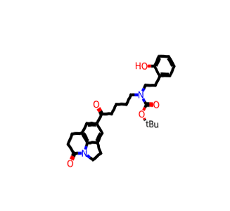 CC(C)(C)OC(=O)N(CCCCC(=O)c1cc2c3c(c1)CCN3C(=O)CC2)CCc1ccccc1O